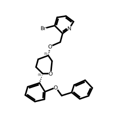 Brc1cccnc1CO[C@H]1CC[C@@H](c2ccccc2OCc2ccccc2)OC1